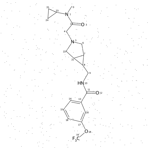 CN(C(=O)CN1CC2C(CNC(=O)c3cccc(OC(F)(F)F)c3)C2C1)C1CC1